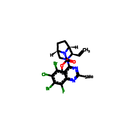 C=C[C@@H]1[C@@H]2CC[C@H](CN1c1nc(SC)nc3c(F)c(Br)c(Cl)c(Br)c13)N2C(=O)OC(C)(C)C